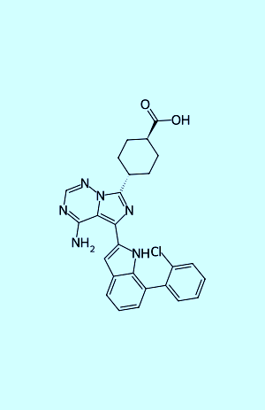 Nc1ncnn2c1c(-c1cc3cccc(-c4ccccc4Cl)c3[nH]1)nc2[C@H]1CC[C@H](C(=O)O)CC1